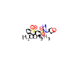 Cc1cc2c(cc1S(=O)(=O)NCC1CCOCC1)S(=O)(=O)c1ccccc1C2(C)C